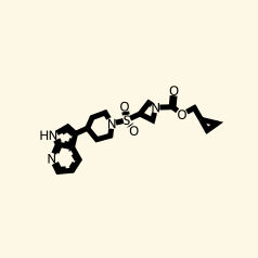 O=C(OCC1CC1)N1CC(S(=O)(=O)N2CCC(c3c[nH]c4ncccc34)CC2)C1